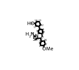 COc1ccc([C@H](Cc2ccc(-c3cccc(O)c3)cc2)c2csc(N)n2)cc1